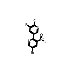 O=[N+]([O-])c1cc(Br)cnc1-c1cnc(Cl)c(F)c1